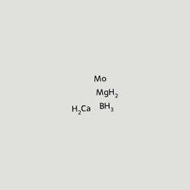 B.[CaH2].[MgH2].[Mo]